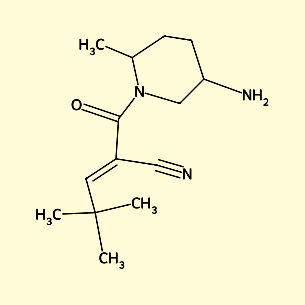 CC1CCC(N)CN1C(=O)/C(C#N)=C/C(C)(C)C